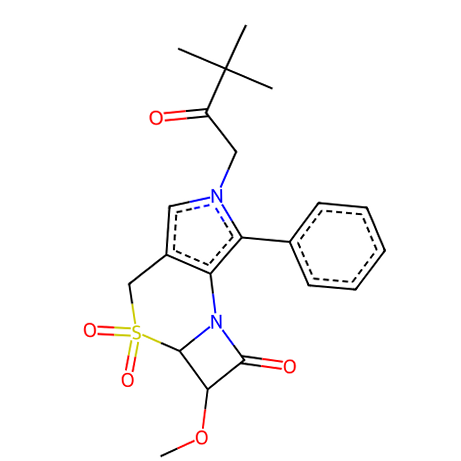 COC1C(=O)N2c3c(cn(CC(=O)C(C)(C)C)c3-c3ccccc3)CS(=O)(=O)C12